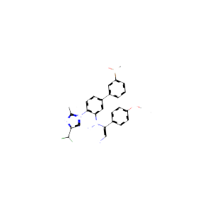 CC[S+]([O-])c1cccc(-c2ccc(-n3cc(C(F)F)nc3C)c(N(N)/C(=C\N)c3ccc(OC(F)(F)F)cc3)c2)c1